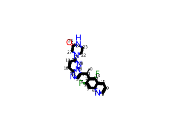 C[C@@H](c1c(F)cc2ncccc2c1F)c1cnc2ccc(N3CCNC(=O)C3)nn12